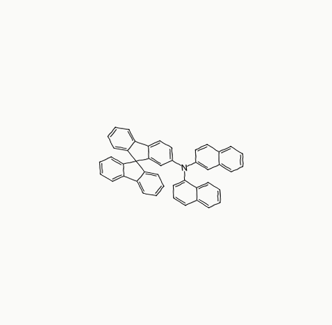 c1ccc2c(c1)-c1ccccc1C21c2ccccc2-c2ccc(N(c3ccc4ccccc4c3)c3cccc4ccccc34)cc21